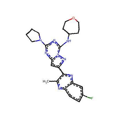 Cc1nc2ccc(F)cc2nc1-c1cc2nc(N3CCCC3)nc(NC3CCOCC3)n2n1